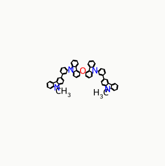 Cn1c2ccccc2c2cc(-c3cccc(-n4c5ccccc5c5c(Oc6cccc7c6c6ccccc6n7-c6cccc(-c7ccc8c(c7)c7ccccc7n8C)c6)cccc54)c3)ccc21